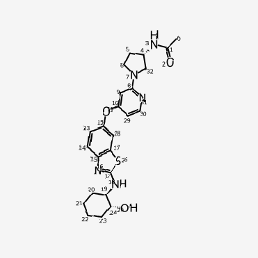 CC(=O)N[C@H]1CCN(c2cc(Oc3ccc4nc(N[C@@H]5CCCC[C@H]5O)sc4c3)ccn2)C1